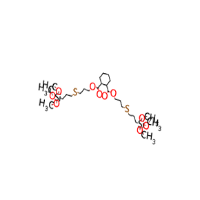 CO[Si](CCCSCCCOC(=O)C1CCCCC1C(=O)OCCCSCCC[Si](OC)(OC)OC)(OC)OC